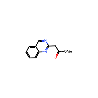 COC(=O)Cc1ncc2ccccc2n1